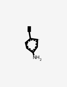 C#Cc1[c]cc(N)cc1